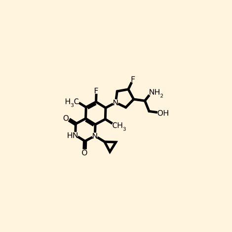 CC1=C(F)C(N2CC(F)C(C(N)CO)C2)C(C)c2c1c(=O)[nH]c(=O)n2C1CC1